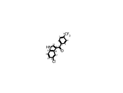 O=C(c1ccc(C(F)(F)F)cc1)c1c[nH]c2ccc(Cl)cc12